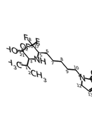 CC(C)[C@H](N[C@H](CCCCCN1CC=CC1=O)C(F)(F)F)C(=O)O